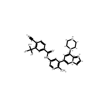 Cc1ncc(NC(=O)c2ccc(C#N)c(C(F)(F)F)c2)cc1-c1cc(N2CCOCC2)c2nccn2c1